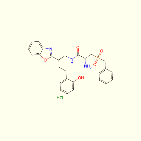 Cl.NC(CS(=O)(=O)Cc1ccccc1)C(=O)NCC(CCc1ccccc1O)c1nc2ccccc2o1